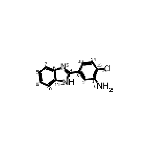 Nc1cc(-c2nc3ccccc3[nH]2)ccc1Cl